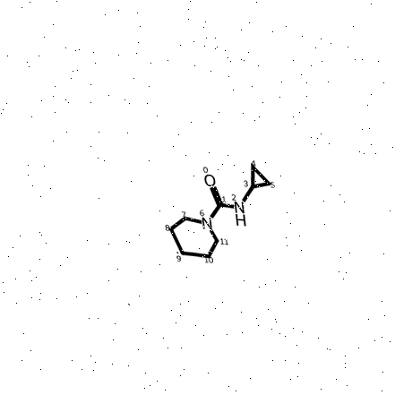 O=C(NC1CC1)N1CC[CH]CC1